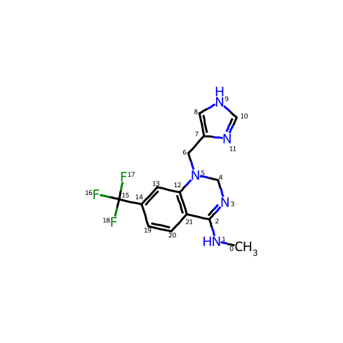 CNC1=NCN(Cc2c[nH]cn2)c2cc(C(F)(F)F)ccc21